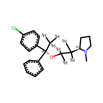 [2H]C([2H])(O[C@](c1ccccc1)(c1ccc(Cl)cc1)C([2H])([2H])[2H])C([2H])([2H])[C@H]1CCCN1C